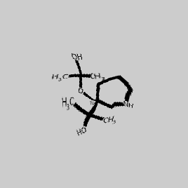 CC(C)(O)O[C@@]1(C(C)(C)O)CCCNC1